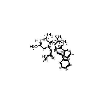 CC(C)C[C@@H](C(=O)NN)[C@H](C(=O)NO)C(/C=C/c1ccccc1)(CC(C)C)C(=O)c1ccco1